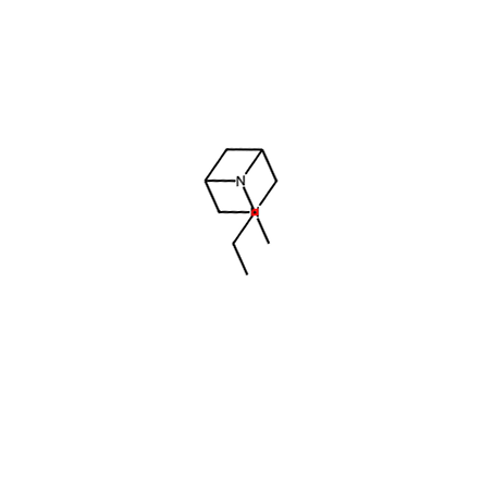 CCCN1C2CC1CN(C)C2